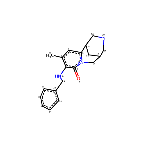 Cc1cc2n(c(=O)c1NCc1ccccc1)CC1CNCC2C1